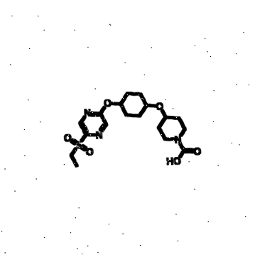 CCS(=O)(=O)c1cnc(OC2CCC(OC3CCN(C(=O)O)CC3)CC2)cn1